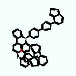 c1ccc(N(c2ccc(-c3ccc(-c4cccc5ccccc45)cc3)cc2)c2ccc(-c3ccccc3-n3c4ccccc4c4ccccc43)cc2)c(-c2ccc3oc4cc5ccccc5cc4c3c2)c1